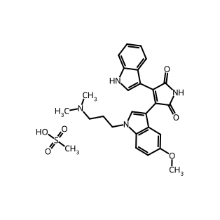 COc1ccc2c(c1)c(C1=C(c3c[nH]c4ccccc34)C(=O)NC1=O)cn2CCCN(C)C.CS(=O)(=O)O